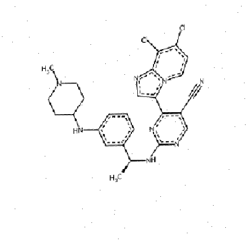 C[C@H](Nc1ncc(C#N)c(-c2cnc3c(Cl)c(Cl)ccn23)n1)c1cccc(NC2CCN(C)CC2)c1